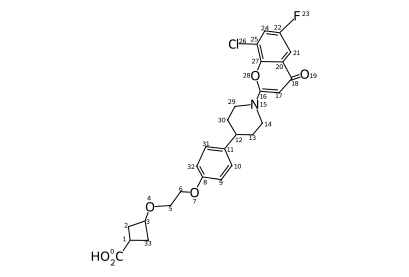 O=C(O)C1CC(OCCOc2ccc(C3CCN(c4cc(=O)c5cc(F)cc(Cl)c5o4)CC3)cc2)C1